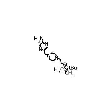 CC(C)(C)[Si](C)(C)OCCN1CCN(Cc2cnc(N)cn2)CC1